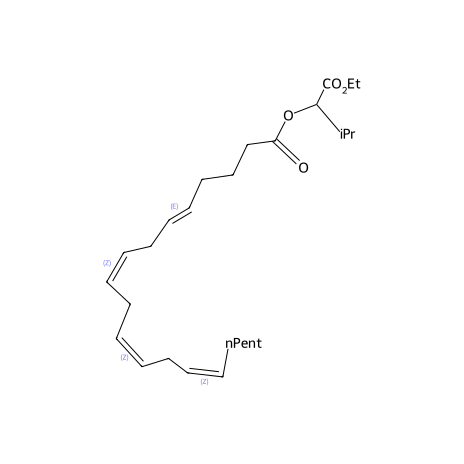 CCCCC/C=C\C/C=C\C/C=C\C/C=C/CCCC(=O)OC(C(=O)OCC)C(C)C